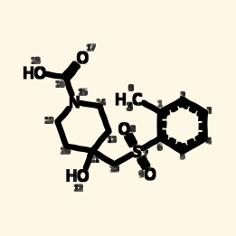 Cc1ccccc1S(=O)(=O)CC1(O)CCN(C(=O)O)CC1